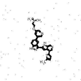 Cc1ccc(-c2cncc3[nH]c(-c4n[nH]c5ccc(-c6cncc(OCCN(C)C)c6)cc45)cc23)s1